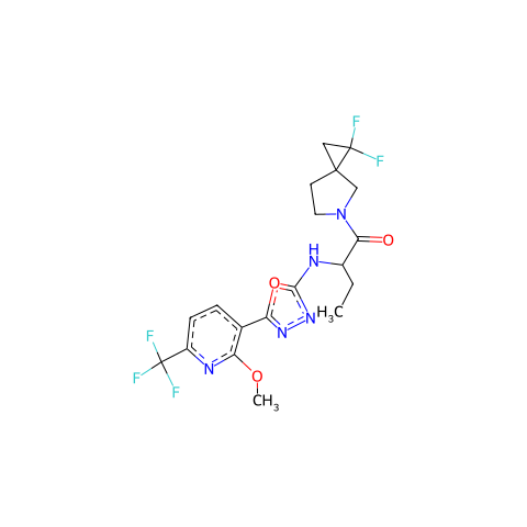 CCC(Nc1nnc(-c2ccc(C(F)(F)F)nc2OC)o1)C(=O)N1CCC2(C1)CC2(F)F